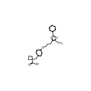 Cc1oc(-c2ccccc2)nc1CCCOc1ccc(CC2(C(=O)O)CCC2)cc1